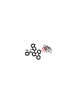 Cc1c(-c2c(Cc3ccccc3)ccc3c4ccccc4c4cc(B5OC(C)(C)C(C)(C)O5)ccc4c23)ccc2ccccc12